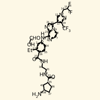 CCc1cc(Nc2nccn3c(-c4cn(CC(F)F)nc4C(F)(F)F)cnc23)ccc1C(=O)NCCNC(=O)[C@H]1CC[C@@H](N)C1.O=CO